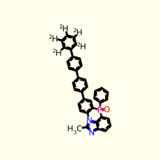 [2H]c1c([2H])c([2H])c(-c2ccc(-c3ccc(-c4ccc5c(c4)P(=O)(c4ccccc4)c4cccc6nc(C)n-5c46)cc3)cc2)c([2H])c1[2H]